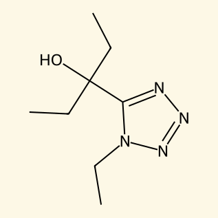 CCn1nnnc1C(O)(CC)CC